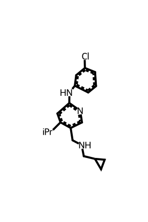 CC(C)c1cc(Nc2cccc(Cl)c2)ncc1CNCC1CC1